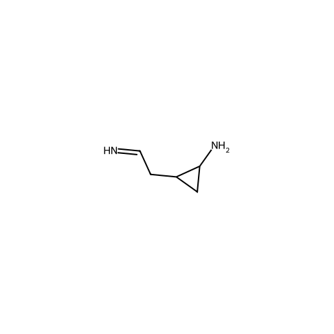 N=CCC1CC1N